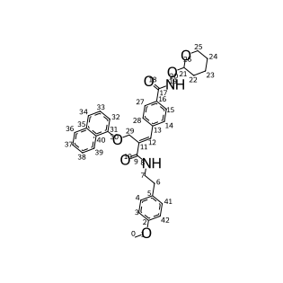 COc1ccc(CCNC(=O)/C(=C/c2ccc(C(=O)NOC3CCCCO3)cc2)COc2cccc3ccccc23)cc1